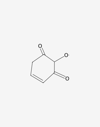 [O]C1C(=O)C=CCC1=O